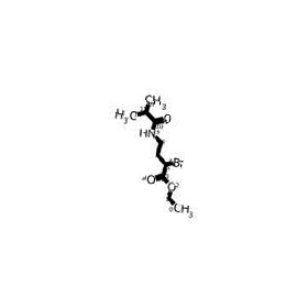 CCOC(=O)C(Br)CCNC(=O)C(C)C